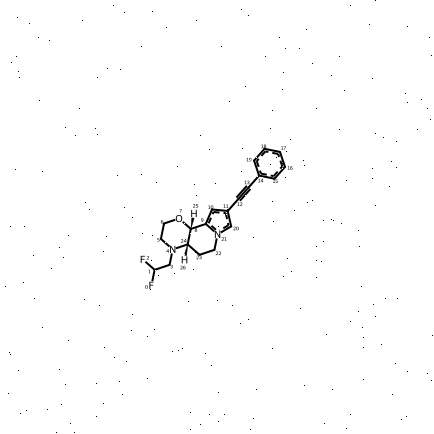 FC(F)CN1CCO[C@@H]2c3cc(C#Cc4ccccc4)cn3CC[C@@H]21